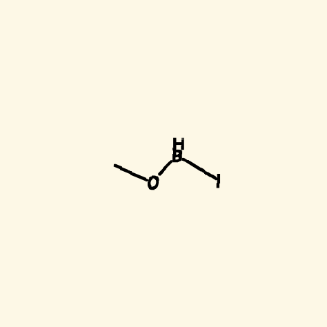 COBI